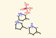 CC1CCCNC1.CC1CCCNC1.CC1CCCNC1.O=P(O)(O)O